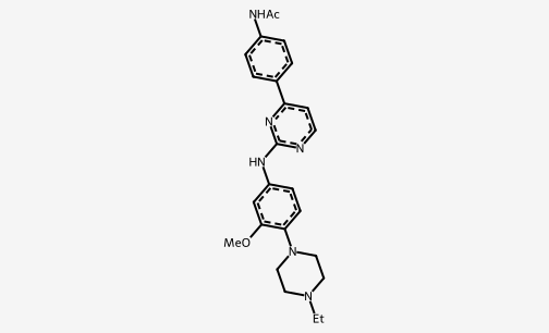 CCN1CCN(c2ccc(Nc3nccc(-c4ccc(NC(C)=O)cc4)n3)cc2OC)CC1